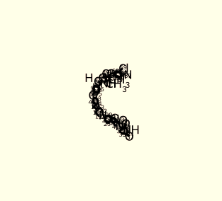 CC1(C)C(NC(=O)c2ccc(O[C@H]3CCN(CC4CCN(c5ccc6c7c(oc6c5)C(=O)N(C5CCC(=O)NC5=O)C7)CC4)C3)cc2)C(C)(C)C1Oc1ccc(C#N)c(Cl)c1